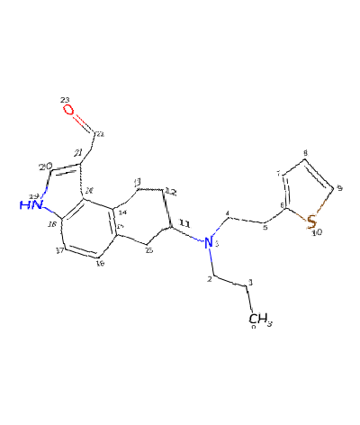 CCCN(CCc1cccs1)C1CCc2c(ccc3[nH]cc(C=O)c23)C1